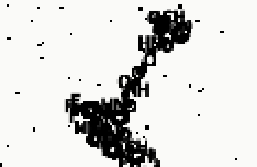 CC(C)N(C)[C@@H]1CC[C@H](N2CC[C@H](Nc3ncnc4ccc(C(F)(F)F)cc34)C2=O)[C@H](NC(=O)[C@H]2CC[C@@H](NC(=O)CNC(=O)COCCOCCNC(=O)[C@H]3CC(=O)N(C)[C@@H]3c3cccnc3)CC2)C1